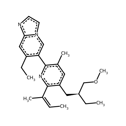 C/C=C(/C)c1nc(-c2cn3ccnc3cc2CC)c(C)cc1C[C@H](CC)COC